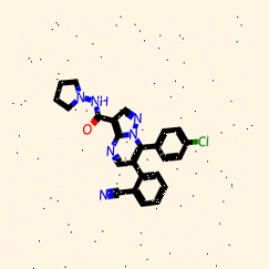 N#Cc1ccccc1-c1cnc2c(C(=O)NN3CCCC3)cnn2c1-c1ccc(Cl)cc1